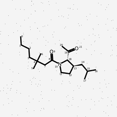 CCCCC(C)(C)CC(=O)N1CC[C@H](CC(C)C)[C@H]1C(C)=O